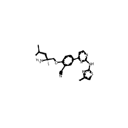 Cc1csc(Nc2nccc(-c3ccc(OC[C@@](C)(N)CC(C)C)c(C#N)c3)n2)n1